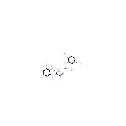 C=C(Nc1ccccc1P(C)(C)=O)/C(Cl)=C\N=C(/C)Nc1cc(C)ccc1OC